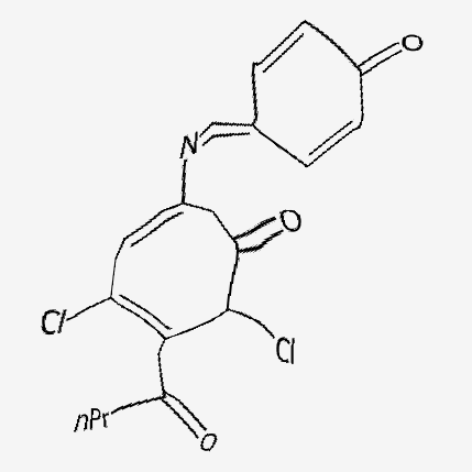 CCCC(=O)C1=C(Cl)C=C(N=C2C=CC(=O)C=C2)C(=O)C1Cl